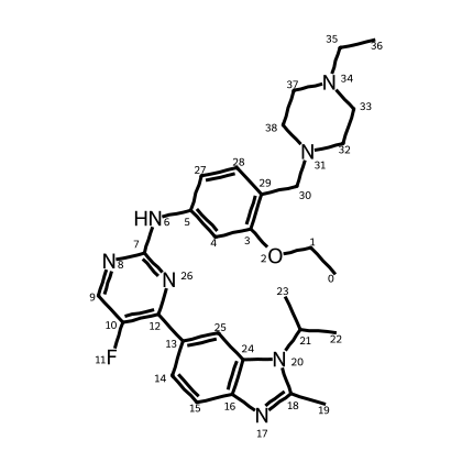 CCOc1cc(Nc2ncc(F)c(-c3ccc4nc(C)n(C(C)C)c4c3)n2)ccc1CN1CCN(CC)CC1